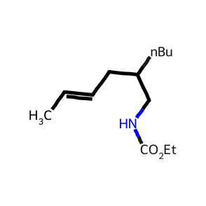 CC=CCC(CCCC)CNC(=O)OCC